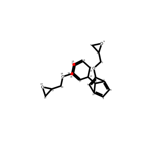 C1=C(OCC2CO2)C2=CC=C1C2C1Cc2ccc1c(OCC1CO1)c2